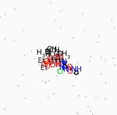 CCOP(=O)(OCC)[C@](CO)(COCC[Si](C)(C)C)OC[C@H]1O[C@@H](n2ncc3c(OC(=O)NC4CCCC4)nc(Cl)nc32)[C@@H]2OC(C)(C)O[C@@H]21